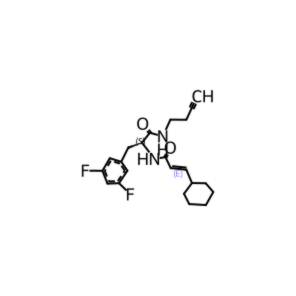 C#CCCNC(=O)[C@H](Cc1cc(F)cc(F)c1)NC(=O)/C=C/C1CCCCC1